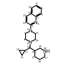 c1ccc2nc(N3CCN(C(C4CC4)C4CCCNC4)CC3)ccc2c1